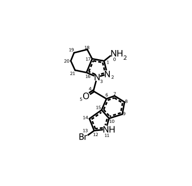 Nc1nn(C(=O)c2cccc3[nH]c(Br)cc23)c2c1CCCC2